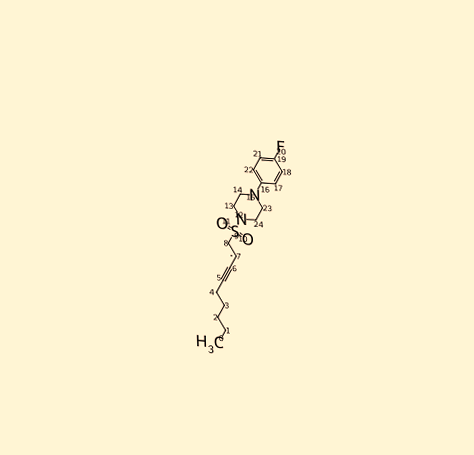 CCCCCC#C[CH]CS(=O)(=O)N1CCN(c2ccc(F)cc2)CC1